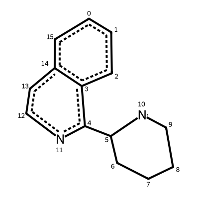 c1ccc2c(C3CCCC[N]3)nccc2c1